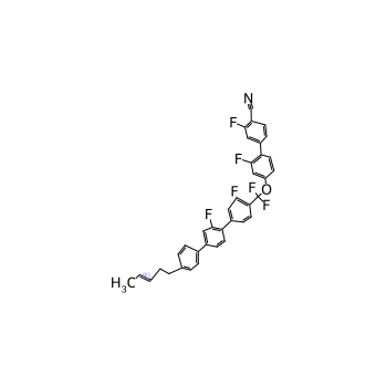 C/C=C/CCc1ccc(-c2ccc(-c3ccc(C(F)(F)Oc4ccc(-c5ccc(C#N)c(F)c5)c(F)c4)c(F)c3)c(F)c2)cc1